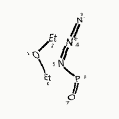 CCOCC.[N-]=[N+]=NP=O